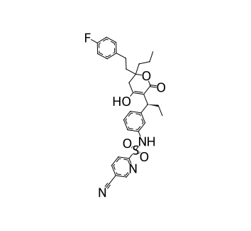 CCCC1(CCc2ccc(F)cc2)CC(O)=C([C@@H](CC)c2cccc(NS(=O)(=O)c3ccc(C#N)cn3)c2)C(=O)O1